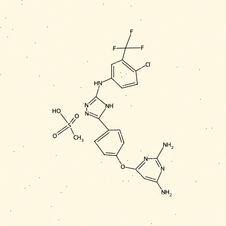 CS(=O)(=O)O.Nc1cc(Oc2ccc(-c3nnc(Nc4ccc(Cl)c(C(F)(F)F)c4)[nH]3)cc2)nc(N)n1